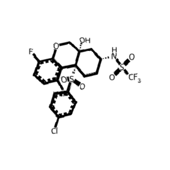 O=S(=O)(N[C@@H]1CC[C@@]2(S(=O)(=O)c3ccc(Cl)cc3)c3c(F)ccc(F)c3OC[C@@]2(O)C1)C(F)(F)F